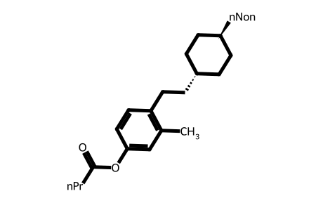 CCCCCCCCC[C@H]1CC[C@H](CCc2ccc(OC(=O)CCC)cc2C)CC1